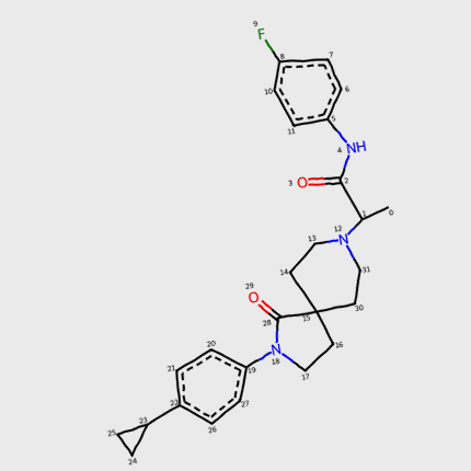 CC(C(=O)Nc1ccc(F)cc1)N1CCC2(CCN(c3ccc(C4CC4)cc3)C2=O)CC1